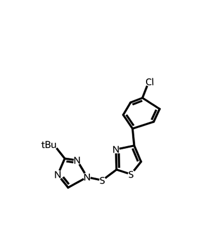 CC(C)(C)c1ncn(Sc2nc(-c3ccc(Cl)cc3)cs2)n1